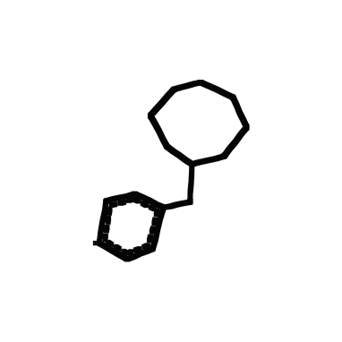 [c]1ccc(CC2CCCCCCC2)cc1